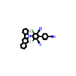 N#Cc1ccc(-c2c(C#N)c(Cl)c(-n3c4ccccc4c4cc5ccccc5cc43)c(Cl)c2C#N)cc1